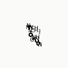 CC(Sc1nncn1C)c1cccc(NC(=O)c2cc3ccncc3cn2)c1